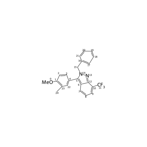 COc1ccc(-c2c3cccc(C(F)(F)F)c3nn2Cc2ccccc2)cc1C